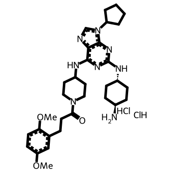 COc1ccc(OC)c(CCC(=O)N2CCC(Nc3nc(N[C@H]4CC[C@H](N)CC4)nc4c3ncn4C3CCCC3)CC2)c1.Cl.Cl